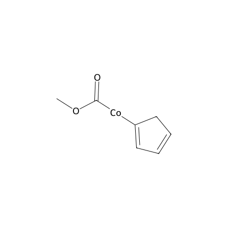 CO[C](=O)[Co][C]1=CC=CC1